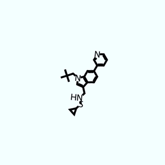 CC(C)(C)Cn1cc(CNSC2CC2)c2ccc(-c3cccnc3)cc21